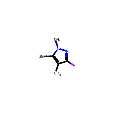 Cc1c(I)nn(C)c1C(C)(C)C